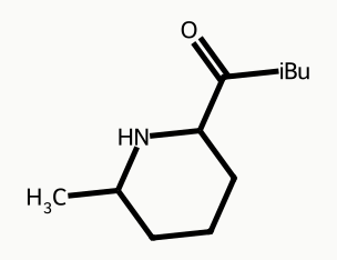 CCC(C)C(=O)C1CCCC(C)N1